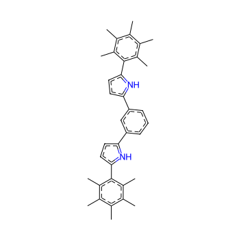 Cc1c(C)c(C)c(-c2ccc(-c3cccc(-c4ccc(-c5c(C)c(C)c(C)c(C)c5C)[nH]4)c3)[nH]2)c(C)c1C